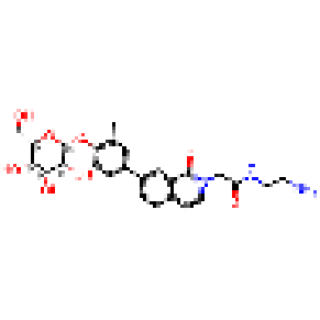 Cc1cc(-c2ccc3ccn(CC(=O)NCCN)c(=O)c3c2)ccc1O[C@H]1O[C@@H](CO)[C@@H](O)[C@H](O)[C@H]1O